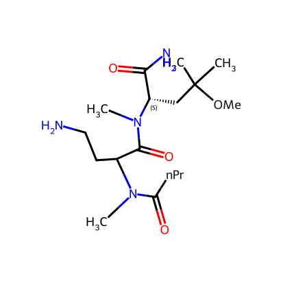 CCCC(=O)N(C)C(CCN)C(=O)N(C)[C@@H](CC(C)(C)OC)C(N)=O